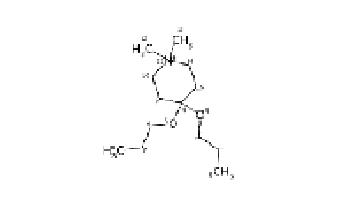 CCCOC1(OCCC)CC[N+](C)(C)CC1